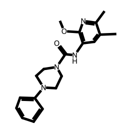 COc1nc(C)c(C)cc1NC(=O)N1CCN(c2ccccc2)CC1